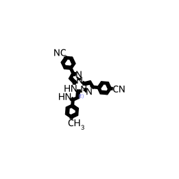 Cc1ccc(C(=N)/C=C2\Nc3cc(-c4ccc(C#N)cc4)nn3-c3cc(-c4ccc(C#N)cc4)nn32)cc1